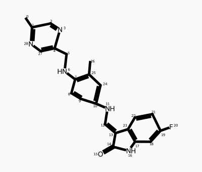 Cc1cnc(CNc2ccc(N/C=C3/C(=O)Nc4cc(F)ccc43)cc2C)cn1